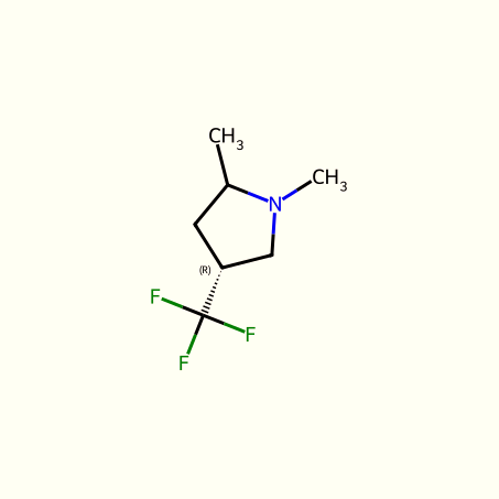 CC1C[C@@H](C(F)(F)F)CN1C